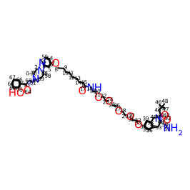 C[C@@H]1CN(c2cc(OCCCCCCCCC(=O)NCCOCCOCCOCCOCCOc3ccc4c(c3)CN(C(=O)CC(C)(C)C)[C@H](C(N)=O)C4)ccn2)[C@H](C)CN1/C=C/C(=O)c1ccccc1O